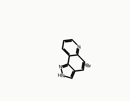 Br.c1cnc2ccc3c[nH]nc3c2c1